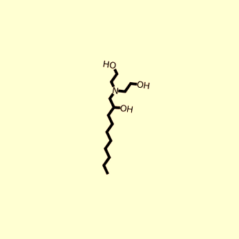 CCCCCCCCC(O)CN(CCO)CCO